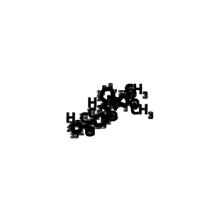 COc1ccc(/C2=C/C=C\CCc3cc(C(=O)N4CCCC(C(C)C(=O)c5ccccc5)[C@@H](C)C4)nn32)cc1OC